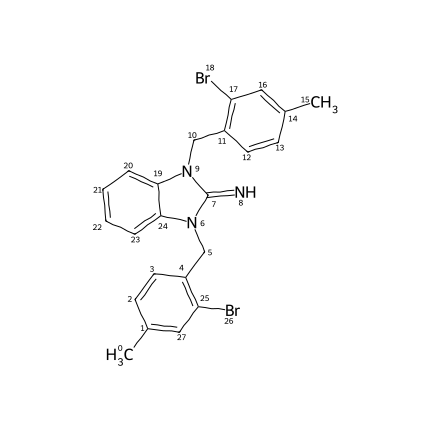 Cc1ccc(Cn2c(=N)n(Cc3ccc(C)cc3Br)c3ccccc32)c(Br)c1